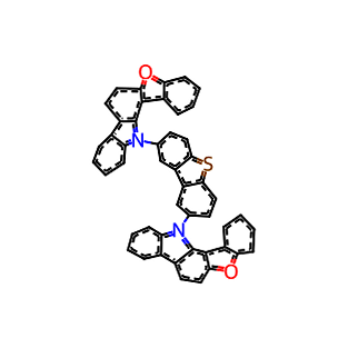 c1ccc2c(c1)oc1ccc3c4ccccc4n(-c4ccc5sc6ccc(-n7c8ccccc8c8ccc9oc%10ccccc%10c9c87)cc6c5c4)c3c12